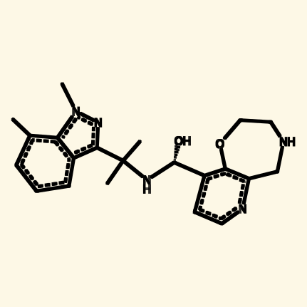 Cc1cccc2c(C(C)(C)N[C@H](O)c3ccnc4c3OCCNC4)nn(C)c12